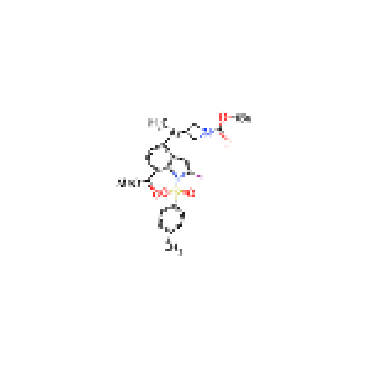 COC(=O)c1ccc([As](C)C2CN(C(=O)OC(C)(C)C)C2)c2cc(I)n(S(=O)(=O)c3ccc(C)cc3)c12